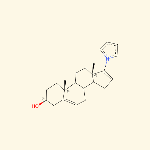 C[C@]12CC[C@H](O)CC1=CCC1C2CC[C@]2(C)C(n3cccc3)=CCC12